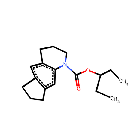 CCC(CC)OC(=O)N1CCCc2cc3c(cc21)CCC3